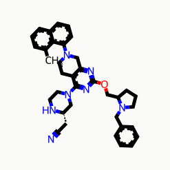 Cc1cccc2cccc(N3CCc4c(nc(OCC5CCCN5Cc5ccccc5)nc4N4CCN[C@@H](CC#N)C4)C3)c12